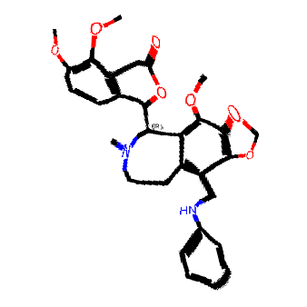 COc1ccc2c(c1OC)C(=O)OC2[C@H]1c2c(c(CNc3ccccc3)c3c(c2OC)OCO3)CCN1C